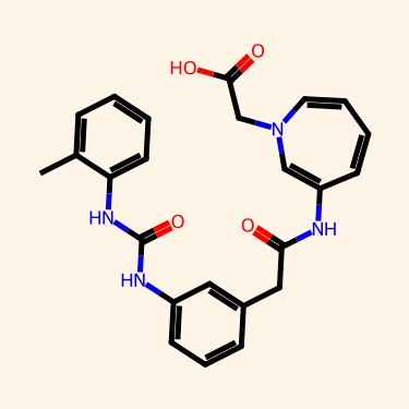 Cc1ccccc1NC(=O)Nc1cccc(CC(=O)NC2=CN(CC(=O)O)C=CC=C2)c1